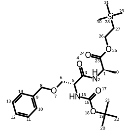 C[C@@H](NC(=O)[C@@H](COCc1ccccc1)NC(=O)OC(C)(C)C)C(=O)OCC[Si](C)(C)C